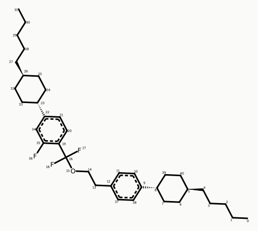 CCCCC[C@H]1CC[C@H](c2ccc(CCOC(F)(F)c3ccc([C@H]4CC[C@H](CCCCC)CC4)cc3F)cc2)CC1